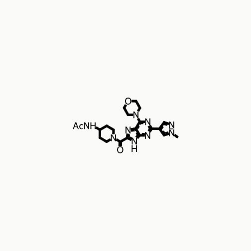 CC(=O)NC1CCN(C(=O)c2nc3c(N4CCOCC4)nc(-c4cnn(C)c4)nc3[nH]2)CC1